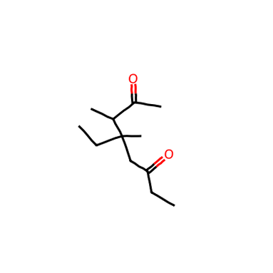 CCC(=O)CC(C)(CC)C(C)C(C)=O